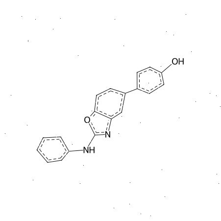 Oc1ccc(-c2ccc3oc(Nc4ccccc4)nc3c2)cc1